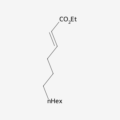 CCCCCCCCCC=CC(=O)OCC